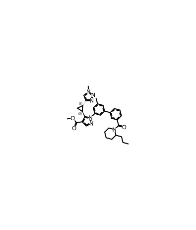 CCCC1CCCCN1C(=O)c1cccc(-c2cc(C)cc(-n3ncc(C(=O)OC)c3[C@H]3C[C@@H]3c3cn(C)nn3)c2)c1